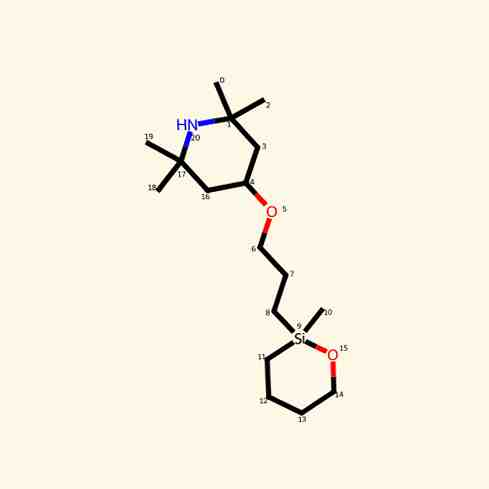 CC1(C)CC(OCCC[Si]2(C)CCCCO2)CC(C)(C)N1